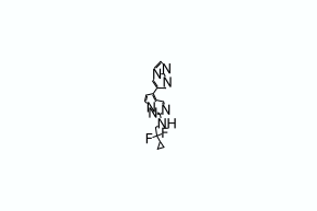 FC(F)(CNc1ncc2c(-c3cnc4nccn4c3)ccn2n1)C1CC1